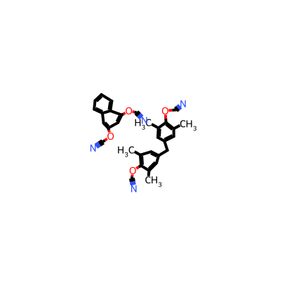 Cc1cc(Cc2cc(C)c(OC#N)c(C)c2)cc(C)c1OC#N.N#COc1cc(OC#N)c2ccccc2c1